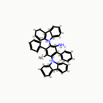 N#Cc1c(-c2ccccc2)c(-n2c3c(c4ccccc42)CCC=C3)c(N)c(-c2ccccc2)c1-n1c2ccccc2c2ccccc21